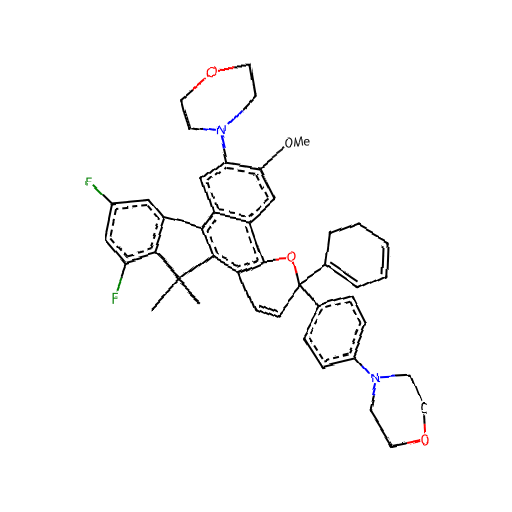 COc1cc2c3c(c4c(c2cc1N1CCOCC1)-c1cc(F)cc(F)c1C4(C)C)C=CC(C1=CC=CCC1)(c1ccc(N2CCOCC2)cc1)O3